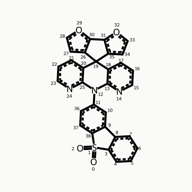 O=S1(=O)c2ccccc2-c2cc(N3c4ncccc4C4(c5cccnc53)c3ccoc3-c3occc34)ccc21